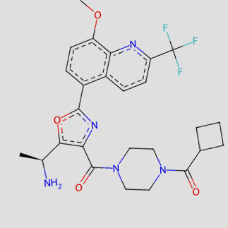 COc1ccc(-c2nc(C(=O)N3CCN(C(=O)C4CCC4)CC3)c([C@H](C)N)o2)c2ccc(C(F)(F)F)nc12